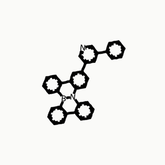 c1ccc(-c2cncc(-c3ccc4c(c3)-c3ccccc3B3c5ccccc5-c5ccccc5N34)c2)cc1